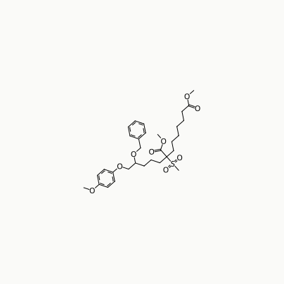 COC(=O)CCCCCCC(CCCC(COc1ccc(OC)cc1)OCc1ccccc1)(C(=O)OC)S(C)(=O)=O